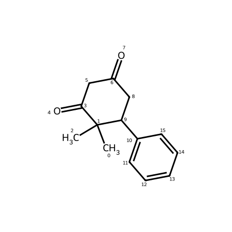 CC1(C)C(=O)CC(=O)CC1c1ccccc1